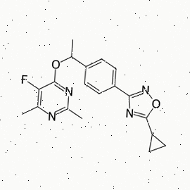 Cc1nc(C)c(F)c(OC(C)c2ccc(-c3noc(C4CC4)n3)cc2)n1